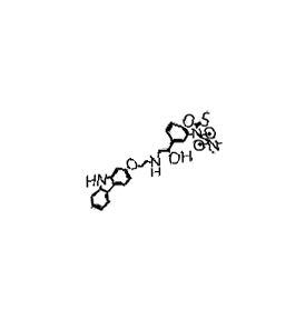 CN(C)S(=O)(=O)n1c(=S)oc2ccc([C@@H](O)CNCCOc3ccc4c(c3)[nH]c3ccccc34)cc21